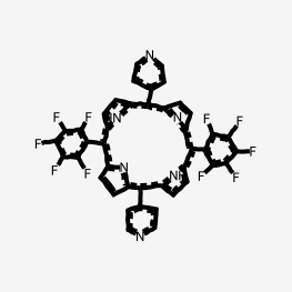 Fc1c(F)c(F)c(-c2c3nc(c(-c4ccncc4)c4ccc([nH]4)c(-c4c(F)c(F)c(F)c(F)c4F)c4nc(c(-c5ccncc5)c5ccc2[nH]5)C=C4)C=C3)c(F)c1F